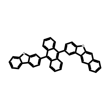 c1ccc2cc3c(cc2c1)oc1ccc(-c2c4ccccc4c(-c4ccc5c(c4)sc4ccccc45)c4ccccc24)cc13